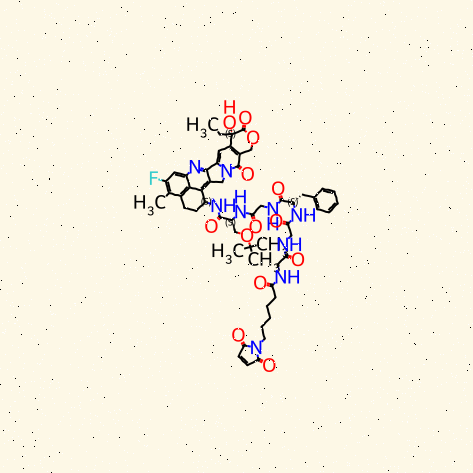 CC[C@@]1(O)C(=O)OCc2c1cc1n(c2=O)Cc2c-1nc1cc(F)c(C)c3c1c2[C@@H](NC(=O)[C@H](COC(C)(C)C)NC(=O)CNC(=O)[C@H](Cc1ccccc1)NC(=O)CNC(=O)CNC(=O)CCCCCN1C(=O)C=CC1=O)CC3